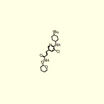 CC(C)(C)C1CCC(Nc2ncc(/C=C/C(=O)NOC3CCCCO3)cc2Cl)CC1